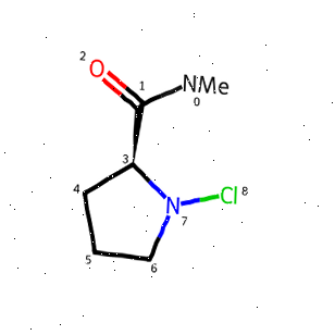 CNC(=O)[C@@H]1CCCN1Cl